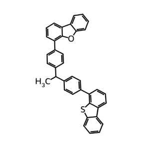 CC(c1ccc(-c2cccc3c2oc2ccccc23)cc1)c1ccc(-c2cccc3c2sc2ccccc23)cc1